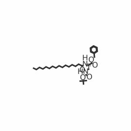 CCCCCCCCCCCCCCCC(=O)N[C@H](CNC(=O)OC(C)(C)C)C(=O)OCc1ccccc1